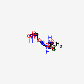 Cn1cc(-c2cc(NC(=O)CCCc3cn(CCCOCC#Cc4cccc5c4CN(C4CCC(=O)NC4=O)C5=O)nn3)ccc2Oc2ccc(F)cc2F)c2cc[nH]c2c1=O